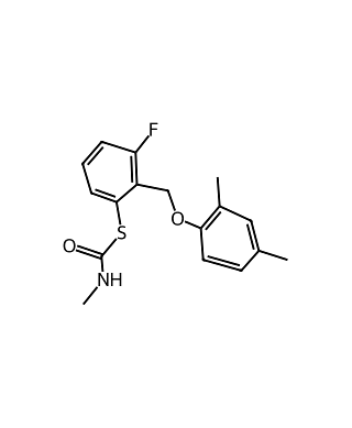 CNC(=O)Sc1cccc(F)c1COc1ccc(C)cc1C